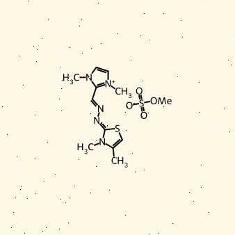 COS(=O)(=O)[O-].Cc1cs/c(=N\N=C\c2n(C)cc[n+]2C)n1C